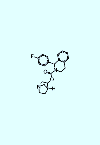 O=C(OC1C[N@@]2CC[C@@H]1C2)N1CCc2ccccc2[C@@H]1c1ccc(F)cc1